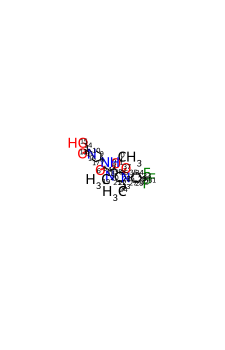 CCOc1c(C(=O)NC2CCN(C(=O)CO)CC2)n(C)c2cc(CC)n(-c3ccc(C(F)(F)F)cc3)c(=O)c12